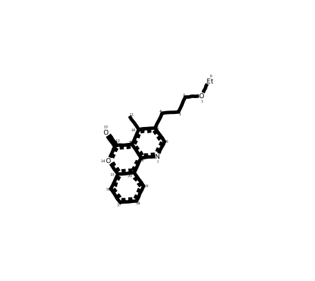 CCOCCCc1cnc2c(c1C)c(=O)oc1ccccc12